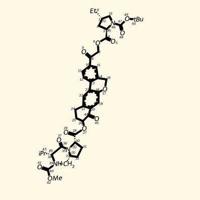 CC[C@H]1C[C@H](C(=O)OCC(=O)c2ccc3c(c2)COc2cc4c(cc2-3)CCC(OC(=O)[C@@H]2CC[C@H](C)N2C(=O)[C@H](NC(=O)OC)C(C)C)C4=O)N(C(=O)OC(C)(C)C)C1